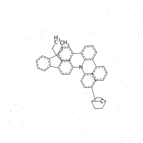 CCC1(CC)c2ccccc2-c2ccc(N(c3ccc(C4CC5CCC4CC5)cc3)c3c(-c4ccccc4)cccc3-c3ccccc3)cc21